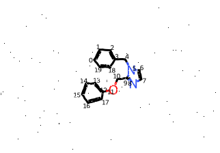 c1ccc(Cn2ccnc2COc2ccccc2)cc1